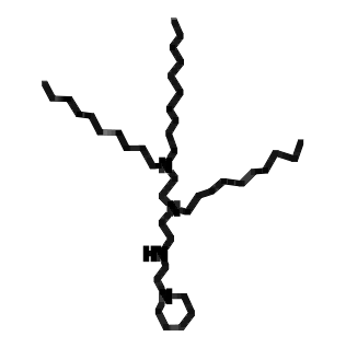 CCCCCCCCCCN(CCCCCCCCCC)CCN(CCCCCCCCCC)CCNCCN1CCCCC1